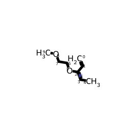 C=C/C(=C\C)OCCOC